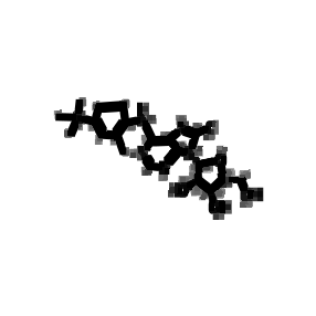 Cc1cc([Si](C)(C)C)ccc1Nc1ncnc2c1nc(Cl)n2[C@@H]1O[C@H](CO)[C@@H](O)[C@H]1O